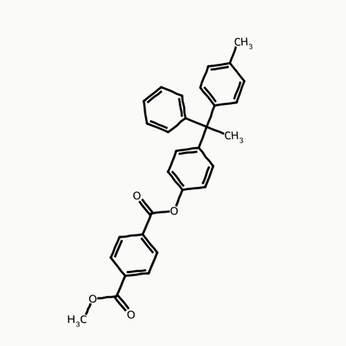 COC(=O)c1ccc(C(=O)Oc2ccc(C(C)(c3ccccc3)c3ccc(C)cc3)cc2)cc1